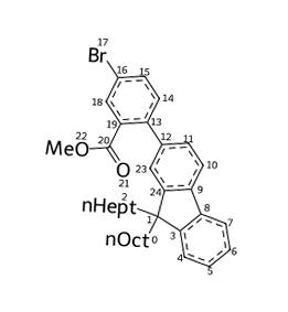 CCCCCCCCC1(CCCCCCC)c2ccccc2-c2ccc(-c3ccc(Br)cc3C(=O)OC)cc21